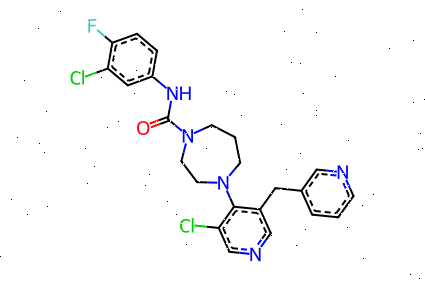 O=C(Nc1ccc(F)c(Cl)c1)N1CCCN(c2c(Cl)cncc2Cc2cccnc2)CC1